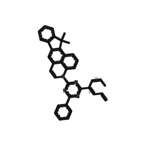 C=C/C=C(\C=C/C)c1nc(-c2ccccc2)nc(N2C=Cc3cc4c(c5cccc2c35)C(C)(C)c2ccccc2-4)n1